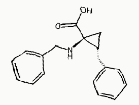 O=C(O)[C@]1(NCc2ccccc2)C[C@@H]1c1ccccc1